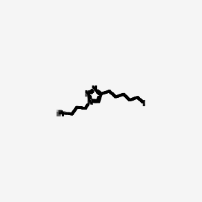 CC(C)CCCn1cc(CCCCCI)nn1